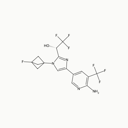 Nc1ncc(-c2cn(C34CC(F)(C3)C4)c([C@H](O)C(F)(F)F)n2)cc1C(F)(F)F